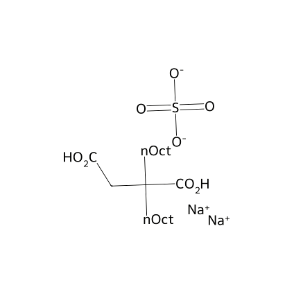 CCCCCCCCC(CCCCCCCC)(CC(=O)O)C(=O)O.O=S(=O)([O-])[O-].[Na+].[Na+]